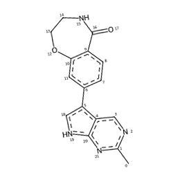 Cc1ncc2c(-c3ccc4c(c3)OCCNC4=O)c[nH]c2n1